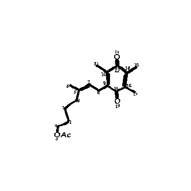 CC(=O)OCCCCC(C)=CCC1=C(C)C(=O)C(C)=C(C)C1=O